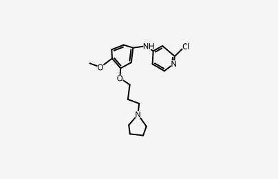 COc1ccc(Nc2ccnc(Cl)c2)cc1OCCCN1CCCC1